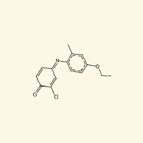 CCOc1ccc(N=C2C=CC(=O)C(Cl)=C2)c(C)c1